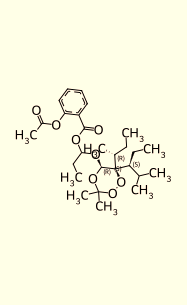 CCC(OC(=O)c1ccccc1OC(C)=O)O[C@@H]1OC(C)(C)OO[C@@]1([C@H](C)CC)[C@@H](CC)C(C)C